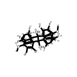 COc1c(F)c(F)c(C(O)(c2ccc(F)cc2F)C(O)(c2ccc(F)cc2F)c2c(F)c(F)c(OC)c(F)c2F)c(F)c1F